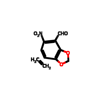 C=C.O=Cc1c([N+](=O)[O-])ccc2c1OCO2